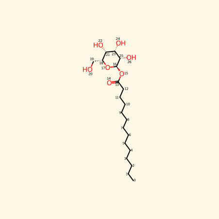 CCCCCCCCCCCCCC(=O)O[C@H]1O[C@H](CO)[C@H](O)[C@H](O)[C@@H]1O